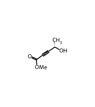 COC(=O)C#C[C@H](C)O